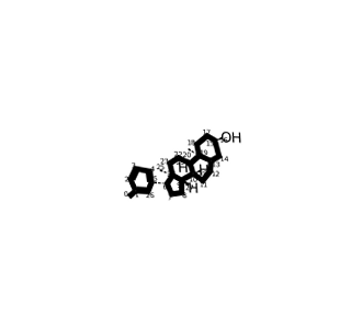 Cc1cccc([C@H]2CC[C@H]3[C@@H]4CCC5C[C@@H](O)CC[C@]5(C)[C@H]4CC[C@]23C)c1